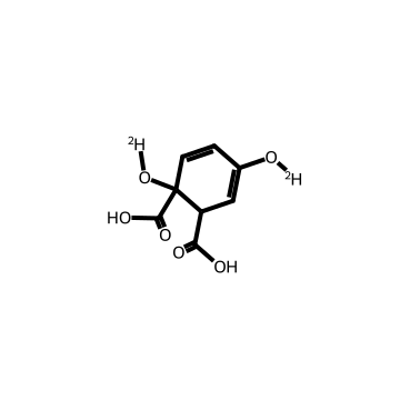 [2H]OC1=CC(C(=O)O)C(O[2H])(C(=O)O)C=C1